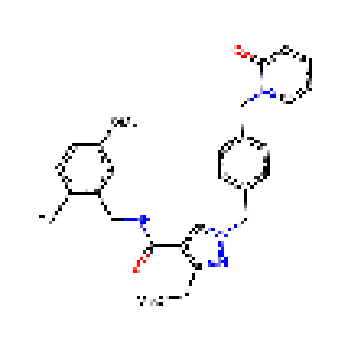 COCc1nn(Cc2ccc(Cn3ccccc3=O)cc2)cc1C(=O)NCc1cc(OC)ccc1C